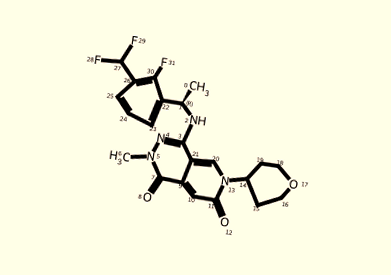 C[C@@H](Nc1nn(C)c(=O)c2cc(=O)n(C3CCOCC3)cc12)c1cccc(C(F)F)c1F